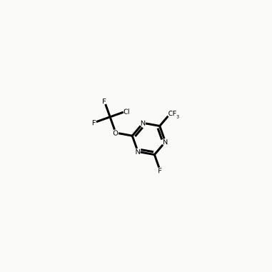 Fc1nc(OC(F)(F)Cl)nc(C(F)(F)F)n1